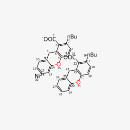 CCCCc1ccc2c(c1C(=O)[O-])Cc1ccccc1O2.CCCCc1ccc2c(c1C(=O)[O-])Cc1ccccc1O2.[Ni+2]